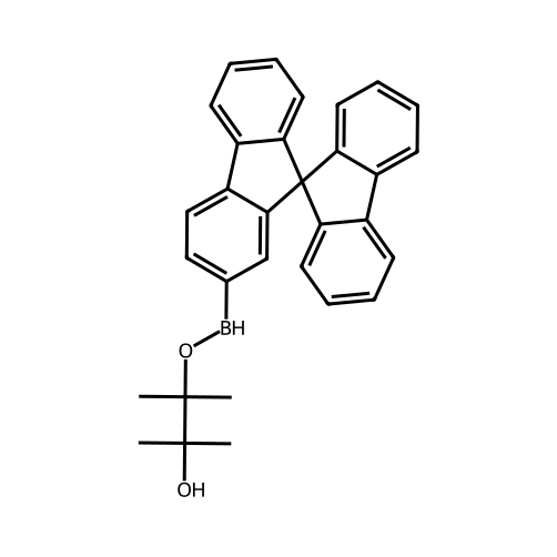 CC(C)(O)C(C)(C)OBc1ccc2c(c1)C1(c3ccccc3-c3ccccc31)c1ccccc1-2